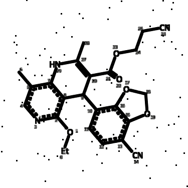 CCOc1ncc(C)c2c1C(c1ccc(C#N)c3c1OCO3)C(C(=O)OCCC#N)=C(C)N2